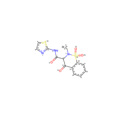 CN1C(C(=O)Nc2nccs2)C(=O)c2ccccc2S1(=O)=O